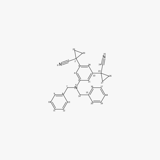 N#CC1(c2cc(N(Cc3ccccc3)Cc3ccccc3)cc(C3(C#N)CC3)c2)CC1